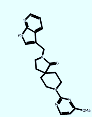 COc1ccnc(N2CCC3(CCN(Cc4c[nH]c5ncccc45)C3=O)CC2)n1